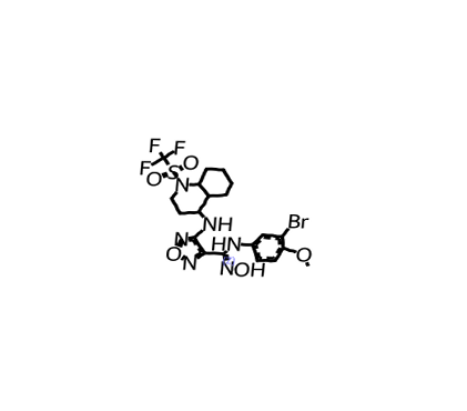 COc1ccc(N/C(=N\O)c2nonc2NC2CCN(S(=O)(=O)C(F)(F)F)C3CCCCC23)cc1Br